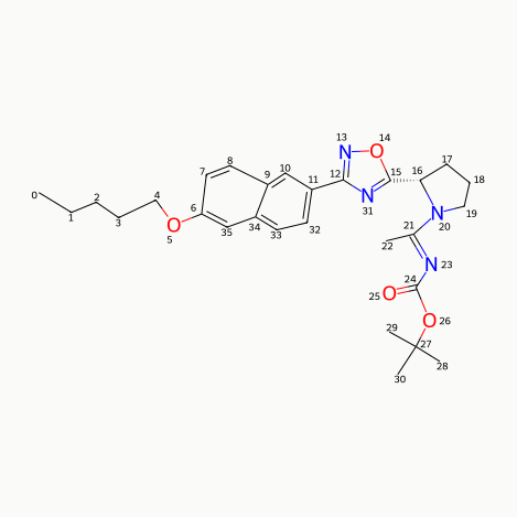 CCCCCOc1ccc2cc(-c3noc([C@@H]4CCCN4/C(C)=N/C(=O)OC(C)(C)C)n3)ccc2c1